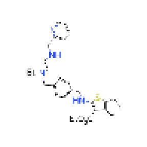 CCOC(=O)c1c(NCc2ccc(CN(CC)CCNCc3ccccn3)cc2)sc2c1CCCC2